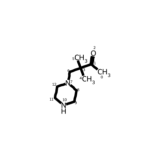 CC(=O)C(C)(C)CN1CCNCC1